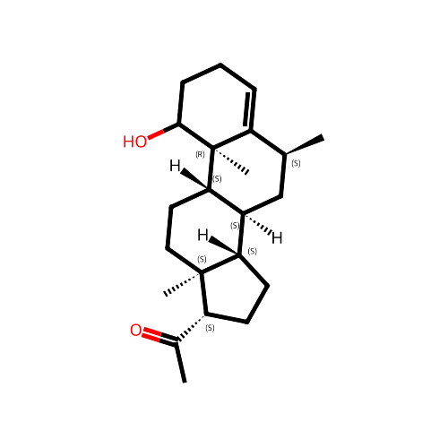 CC(=O)[C@H]1CC[C@H]2[C@@H]3C[C@H](C)C4=CCCC(O)[C@]4(C)[C@H]3CC[C@]12C